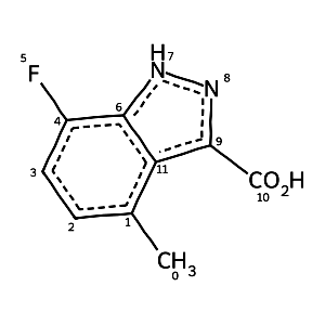 Cc1ccc(F)c2[nH]nc(C(=O)O)c12